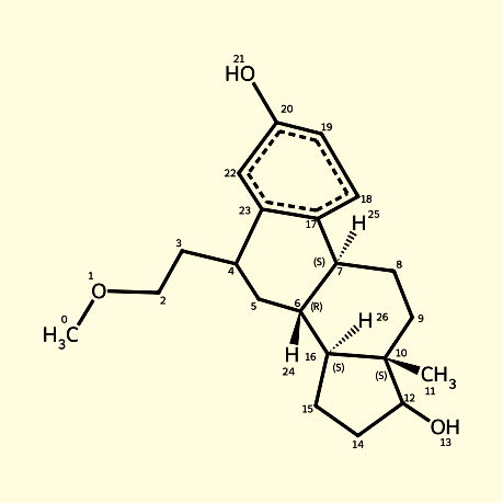 COCCC1C[C@@H]2[C@H](CC[C@]3(C)C(O)CC[C@@H]23)c2ccc(O)cc21